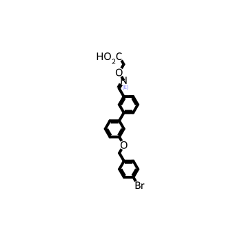 O=C(O)CO/N=C/c1cccc(-c2cccc(OCc3ccc(Br)cc3)c2)c1